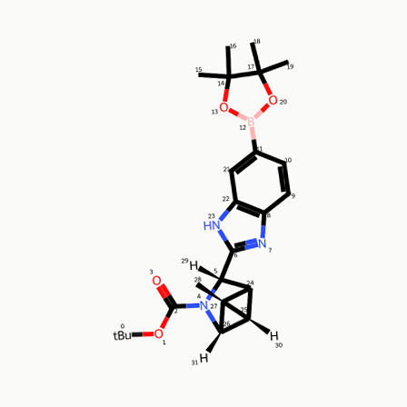 CC(C)(C)OC(=O)N1[C@H](c2nc3ccc(B4OC(C)(C)C(C)(C)O4)cc3[nH]2)C2[C@@H]3[C@H]1[C@]23C